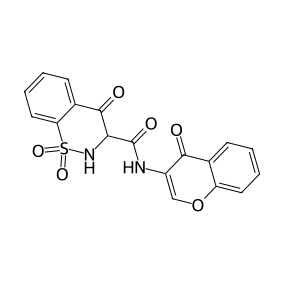 O=C(Nc1coc2ccccc2c1=O)C1NS(=O)(=O)c2ccccc2C1=O